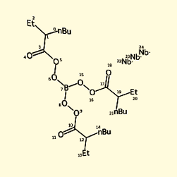 CCCCC(CC)C(=O)OOB(OOC(=O)C(CC)CCCC)OOC(=O)C(CC)CCCC.[Nb].[Nb].[Nb]